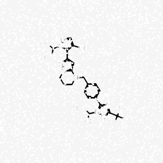 Cc1cnn(C(C)C)c1-c1cc2n(n1)CCCN2Cc1ccc(-c2nc(C(F)(F)F)nn2C(C)C)cc1